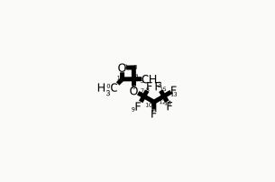 CC1OCC1(C)OC(F)(F)C(F)C(F)(F)F